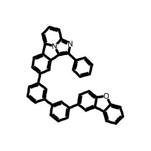 c1ccc(-c2nc3cccc4c5ccc(-c6cccc(-c7cccc(-c8ccc9oc%10ccccc%10c9c8)c7)c6)cc5c2n34)cc1